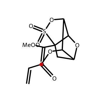 C=CC(=O)OC1C2CC3(C(=O)OC)C(O2)C1OS3(=O)=O